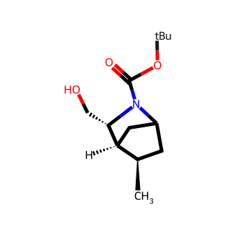 C[C@@H]1CC2C[C@@H]1[C@H](CO)N2C(=O)OC(C)(C)C